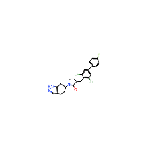 O=C1C(Cc2c(Cl)cc(-c3ccc(F)cc3)cc2Cl)CCN1C1CCc2cn[nH]c2C1